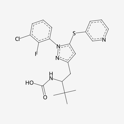 CC(C)(C)C(Cc1cc(Sc2cccnc2)n(-c2cccc(Cl)c2F)n1)NC(=O)O